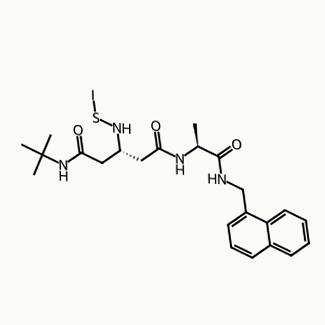 C[C@H](NC(=O)C[C@H](CC(=O)NC(C)(C)C)NSI)C(=O)NCc1cccc2ccccc12